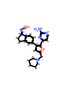 Nc1nccc(-c2oc(CN3CCCCC3)cc2-c2ccc3c(c2)CC/C3=N/O)n1